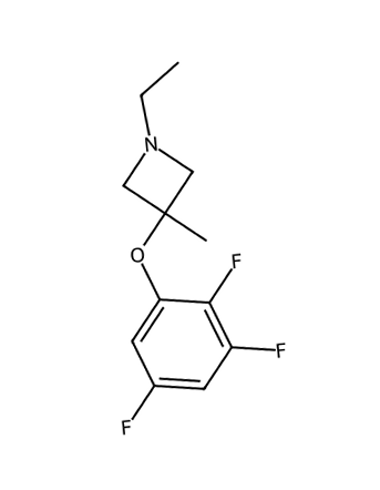 CCN1CC(C)(Oc2cc(F)cc(F)c2F)C1